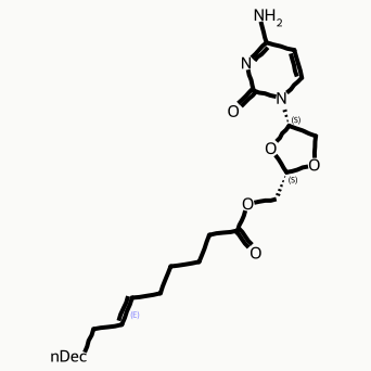 CCCCCCCCCCC/C=C/CCCCC(=O)OC[C@H]1OC[C@@H](n2ccc(N)nc2=O)O1